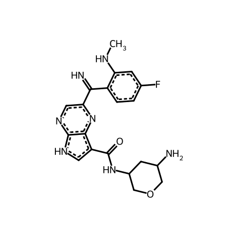 CNc1cc(F)ccc1C(=N)c1cnc2[nH]cc(C(=O)NC3COCC(N)C3)c2n1